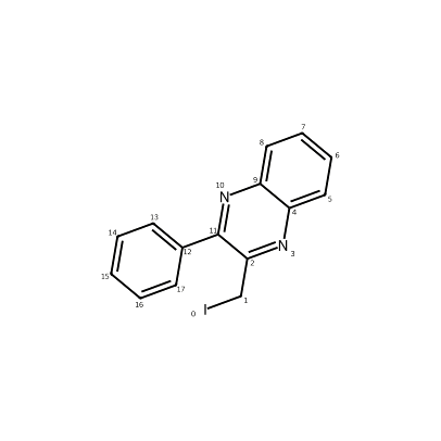 ICc1nc2ccccc2nc1-c1ccccc1